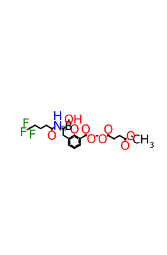 COC(=O)CCC(=O)OCOC(=O)c1cccc2c1OB(O)[C@@H](NC(=O)CCCC(F)(F)F)C2